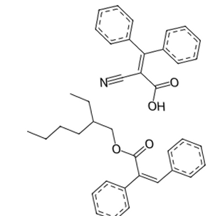 CCCCC(CC)COC(=O)C(=Cc1ccccc1)c1ccccc1.N#CC(C(=O)O)=C(c1ccccc1)c1ccccc1